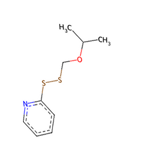 CC(C)OCSSc1ccccn1